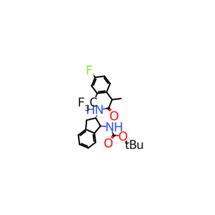 CC(C(=O)N[C@H]1Cc2ccccc2[C@@H]1NC(=O)OC(C)(C)C)c1ccc(F)cc1C(F)(F)F